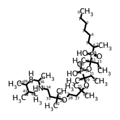 CCCCCCC(C)P(=O)(O)C(C)(CC)OP(=O)(O)C(C)(CC)OC(C)(C)CCOC(C)(C)CCNC(C)BC(C)C(C)C